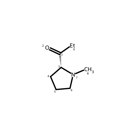 CCC(=O)[C@H]1CCCN1C